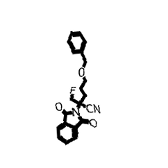 N#CC(CF)(CCCOCc1ccccc1)N1C(=O)c2ccccc2C1=O